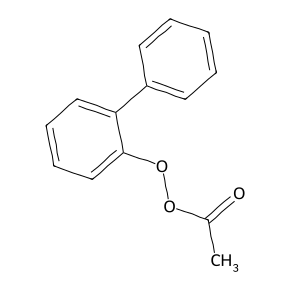 CC(=O)OOc1ccccc1-c1ccccc1